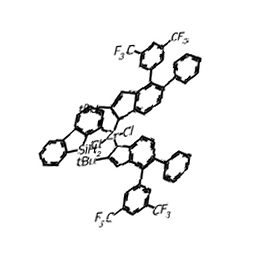 CC(C)(C)C1=Cc2c(ccc(-c3ccccc3)c2-c2cc(C(F)(F)F)cc(C(F)(F)F)c2)[CH]1[Zr]([Cl])([Cl])([c]1cccc2c1[SiH2]c1ccccc1-2)[CH]1C(C(C)(C)C)=Cc2c1ccc(-c1ccccc1)c2-c1cc(C(F)(F)F)cc(C(F)(F)F)c1